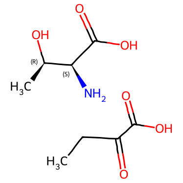 CCC(=O)C(=O)O.C[C@@H](O)[C@H](N)C(=O)O